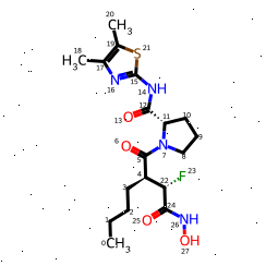 CCCC[C@@H](C(=O)N1CCC[C@H]1C(=O)Nc1nc(C)c(C)s1)[C@H](F)C(=O)NO